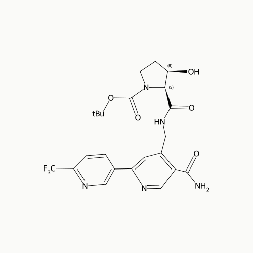 CC(C)(C)OC(=O)N1CC[C@@H](O)[C@H]1C(=O)NCc1cc(-c2ccc(C(F)(F)F)nc2)ncc1C(N)=O